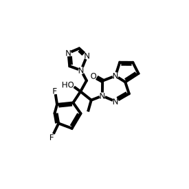 CC(n1ncc2cccn2c1=O)C(O)(Cn1cncn1)c1ccc(F)cc1F